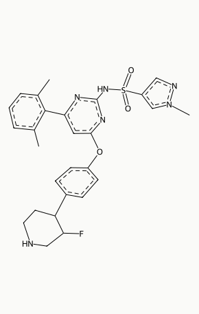 Cc1cccc(C)c1-c1cc(Oc2ccc(C3CCNCC3F)cc2)nc(NS(=O)(=O)c2cnn(C)c2)n1